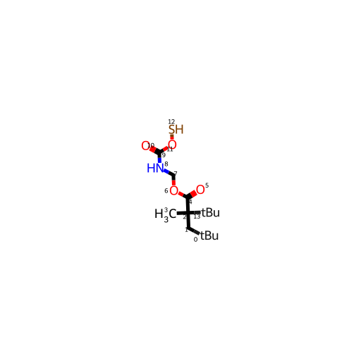 CC(C)(C)CC(C)(C(=O)OCNC(=O)OS)C(C)(C)C